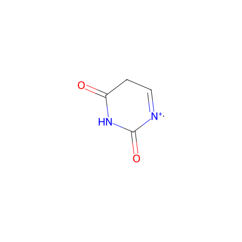 O=C1CC=[N+]C(=O)N1